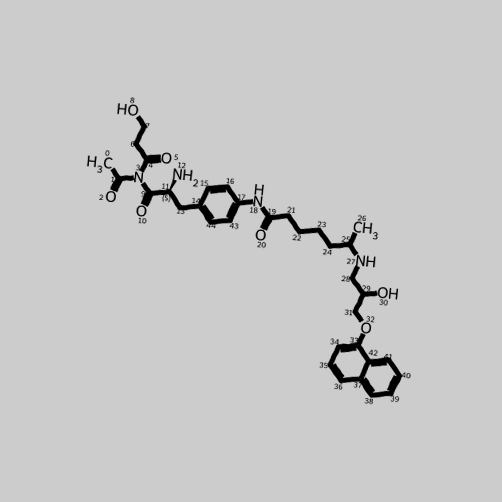 CC(=O)N(C(=O)CCO)C(=O)[C@@H](N)Cc1ccc(NC(=O)CCCCC(C)NCC(O)COc2cccc3ccccc23)cc1